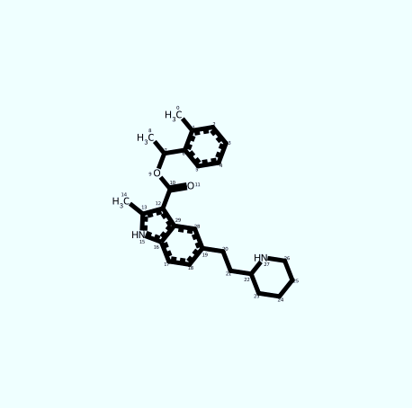 Cc1ccccc1C(C)OC(=O)c1c(C)[nH]c2ccc(CCC3CCCCN3)cc12